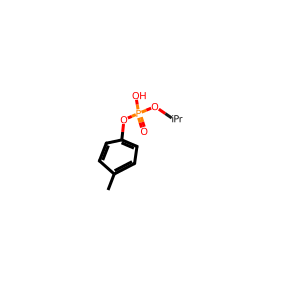 Cc1ccc(OP(=O)(O)OC(C)C)cc1